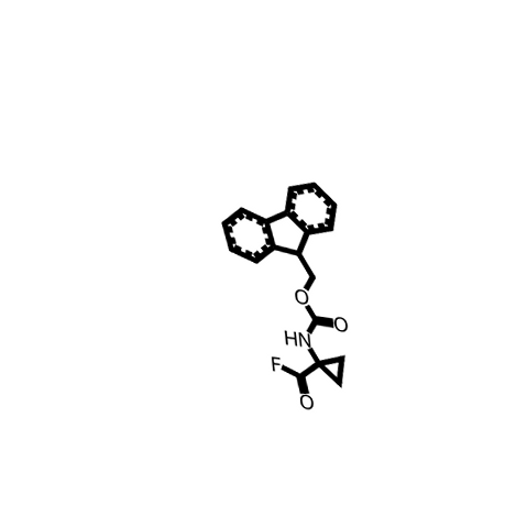 O=C(NC1(C(=O)F)CC1)OCC1c2ccccc2-c2ccccc21